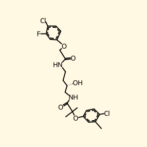 Cc1cc(OC(C)(C)C(=O)NC[C@@H](O)CCNC(=O)COc2ccc(Cl)c(F)c2)ccc1Cl